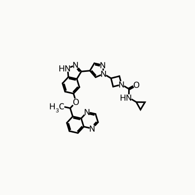 CC(Oc1ccc2[nH]nc(-c3cnn(C4CN(C(=O)NC5CC5)C4)c3)c2c1)c1cccc2nccnc12